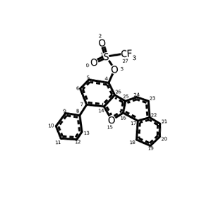 O=S(=O)(Oc1ccc(-c2ccccc2)c2oc3c4ccccc4ccc3c12)C(F)(F)F